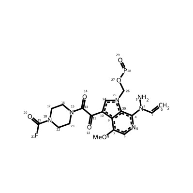 C=CN(N)c1ncc(OC)c2c(C(=O)C(=O)N3CCN(C(=O)F)CC3)cn(COP=O)c12